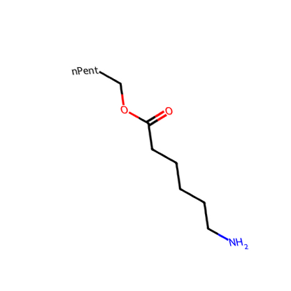 CCCCCCOC(=O)CCCCCN